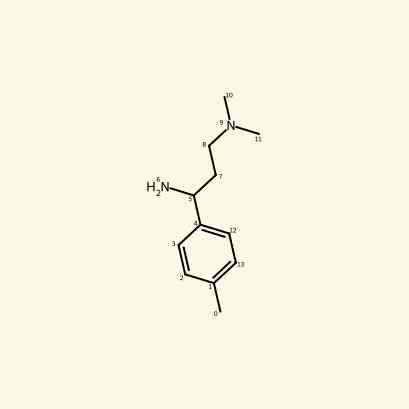 Cc1ccc(C(N)CCN(C)C)cc1